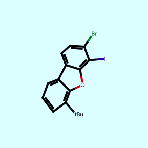 CC(C)(C)c1cccc2c1oc1c(I)c(Br)ccc12